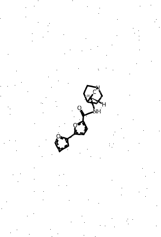 O=C(N[C@H]1CN2CCC1CC2)c1ccc(-c2ccco2)o1